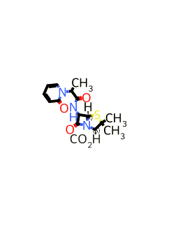 CC(C(=O)NC1C(=O)N2[C@@H]1SC(C)(C)[C@@H]2C(=O)O)n1ccccc1=O